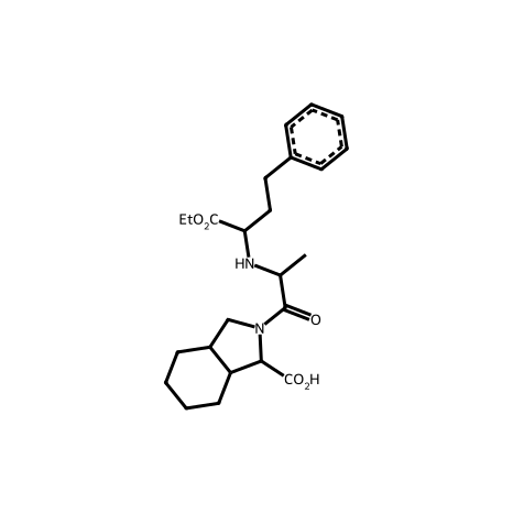 CCOC(=O)C(CCc1ccccc1)NC(C)C(=O)N1CC2CCCCC2C1C(=O)O